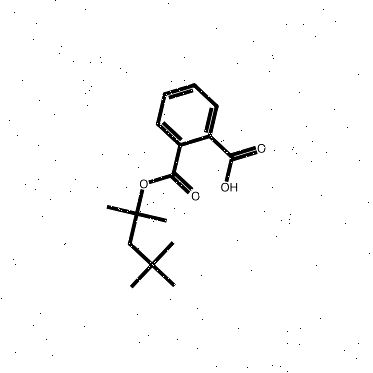 CC(C)(C)CC(C)(C)OC(=O)c1ccccc1C(=O)O